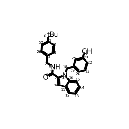 CC(C)(C)c1ccc(CNC(=O)c2cc3ccccc3n2Cc2cccc(O)c2)cc1